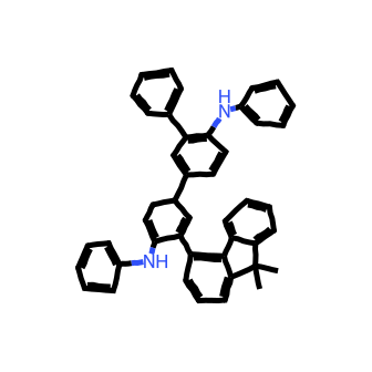 CC1(C)c2ccccc2-c2c(C3=CC(c4ccc(Nc5ccccc5)c(-c5ccccc5)c4)CC=C3Nc3ccccc3)cccc21